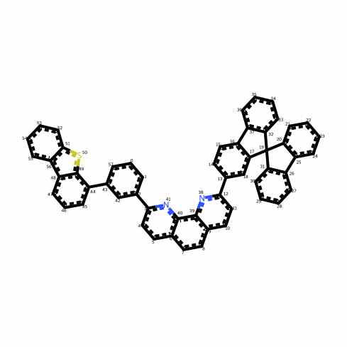 c1cc(-c2ccc3ccc4ccc(-c5ccc6c(c5)C5(c7ccccc7-c7ccccc75)c5ccccc5-6)nc4c3n2)cc(-c2cccc3c2sc2ccccc23)c1